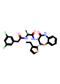 CCc1ccsc1[C@H]1Sc2ccccc2NC(=O)[C@H]1NC(=O)[C@H](C)NC(=O)Cc1cc(F)cc(F)c1